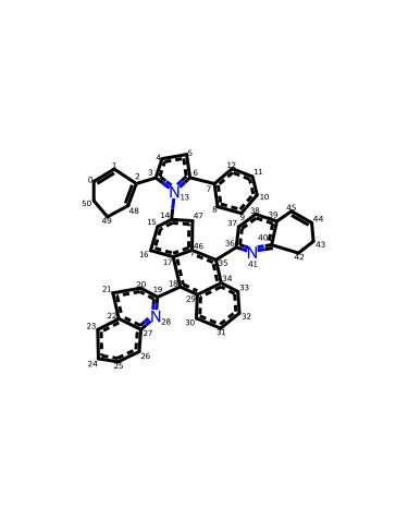 C1=CC(c2ccc(-c3ccccc3)n2-c2ccc3c(-c4ccc5ccccc5n4)c4ccccc4c(-c4ccc5c(n4)CCC=C5)c3c2)=CCC1